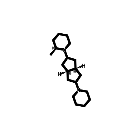 C[C@H]1CCCCN1C1C[C@H]2CC(N3CCCCC3)C[C@H]2C1